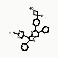 Nc1ncc(-c2c(-c3ccccc3)nn3cc(-c4ccccc4)c(-c4ccc([C@]5(N)C[C@H](O)C5)cc4)nc23)cn1